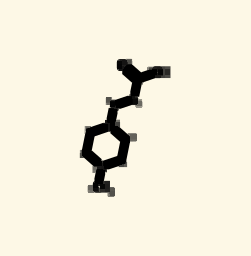 CN1CCN(SSC(=O)O)CC1